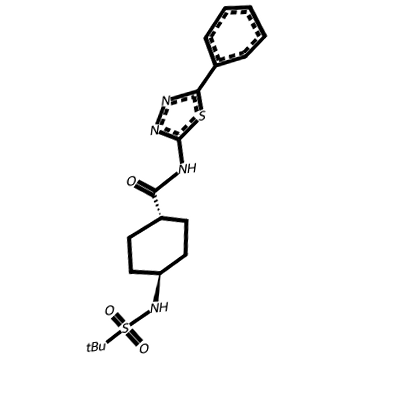 CC(C)(C)S(=O)(=O)N[C@H]1CC[C@H](C(=O)Nc2nnc(-c3ccccc3)s2)CC1